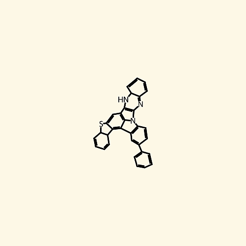 C1=CC2=Nc3c(c4cc5c(c6c7cc(-c8ccccc8)ccc7n3c46)C3C=CC=CC3S5)NC2C=C1